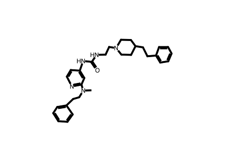 CN(CCc1ccccc1)c1cc(NC(=O)NCCN2CCC(CCc3ccccc3)CC2)ccn1